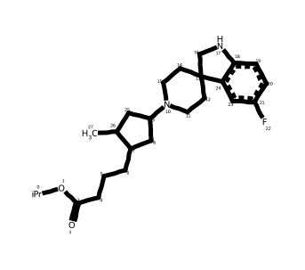 CC(C)OC(=O)CCCC1CC(N2CCC3(CC2)CNc2ccc(F)cc23)CC1C